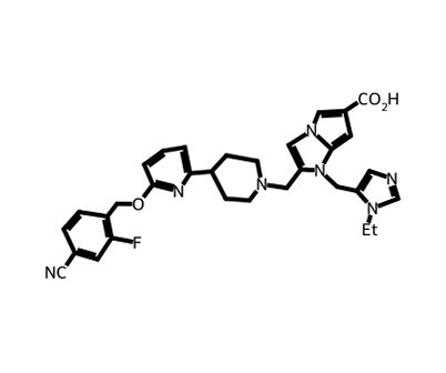 CCn1cncc1Cn1c(CN2CCC(c3cccc(OCc4ccc(C#N)cc4F)n3)CC2)cn2cc(C(=O)O)cc12